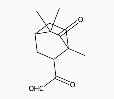 CC1(C)C(=O)C2(C)CCC1CC2C(=O)C=O